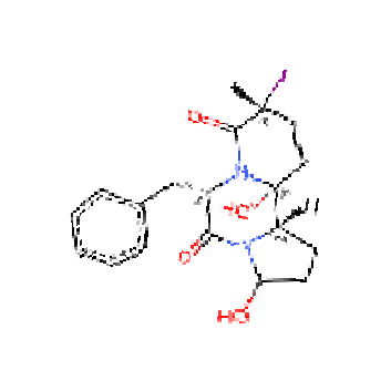 C[C@@]1(I)CC[C@@]2(O)[C@@H]3CCC(O)N3C(=O)[C@H](Cc3ccccc3)N2C1=O